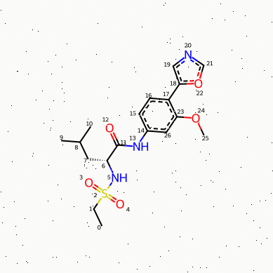 CCS(=O)(=O)N[C@H](CC(C)C)C(=O)Nc1ccc(-c2cnco2)c(OC)c1